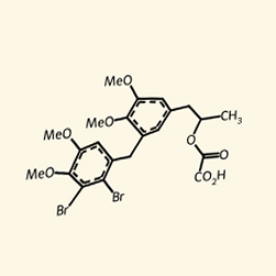 COc1cc(CC(C)OC(=O)C(=O)O)cc(Cc2cc(OC)c(OC)c(Br)c2Br)c1OC